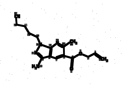 C=CCOC(=O)c1cc2c(N)nn(CCCCC#N)c2nc1C